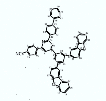 N#Cc1ccc(-c2cc(-c3cc(-c4ccc5oc6ccccc6c5c4)cc(-c4ccc5oc6ccccc6c5c4)c3)nc(-c3ccc(-c4cccnc4)cc3)n2)cc1